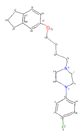 Clc1ccc(N2CCN(CCCCOc3ccc4c(c3)CCC4)CC2)cc1